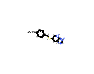 COc1ccc(CSc2cnc3[nH]cnc3c2)cc1